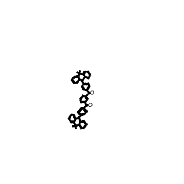 CC1(C)c2ccccc2C(c2ccc(C(=O)c3cccc(C(=O)c4ccc(C5c6ccccc6C(C)(C)c6ccccc65)cc4)c3)cc2)c2ccccc21